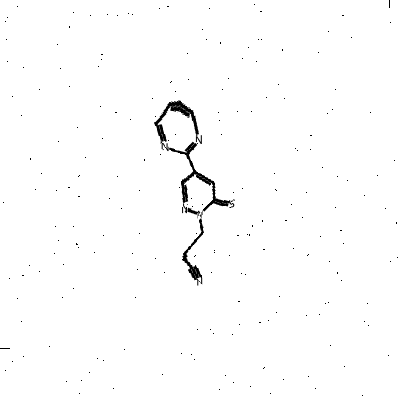 N#CCCn1ncc(-c2ncccn2)cc1=S